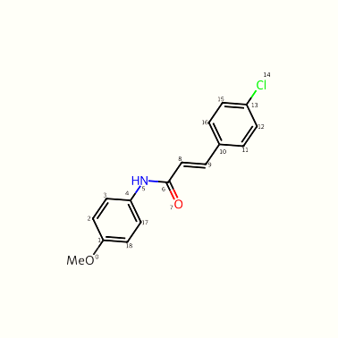 COc1ccc(NC(=O)/C=C/c2ccc(Cl)cc2)cc1